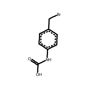 O=C(O)Nc1ccc(CBr)cc1